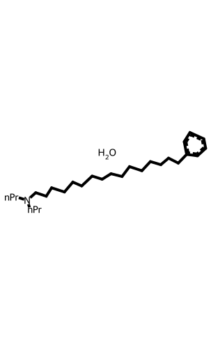 CCCN(CCC)CCCCCCCCCCCCCCCCc1ccccc1.O